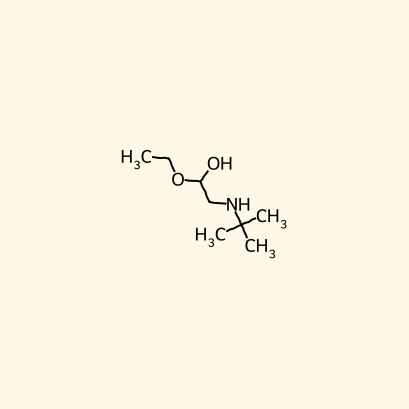 CCOC(O)CNC(C)(C)C